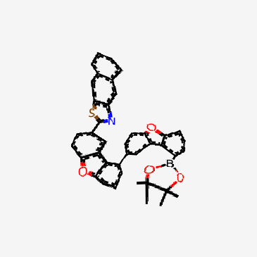 CC1(C)OB(c2cccc3oc4ccc(-c5cccc6oc7ccc(-c8nc9cc%10ccccc%10cc9s8)cc7c56)cc4c23)OC1(C)C